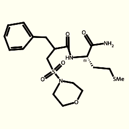 CSCC[C@H](NC(=O)C(Cc1ccccc1)CS(=O)(=O)N1CCOCC1)C(N)=O